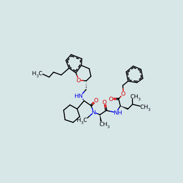 CCCCc1cccc2c1O[C@@H](CN[C@H](C(=O)N(C)[C@H](C)C(=O)N[C@H](CC(C)C)C(=O)OCc1ccccc1)C1CCCCC1)CC2